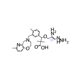 Cc1ccc2c(n1)CN(Cc1cc(C(OC/C(N)=C/NN)C(C)(C)C(=O)O)ccc1C)CCO2